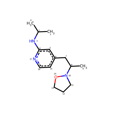 CC(C)Nc1cc(CC(C)N2CCCO2)ccn1